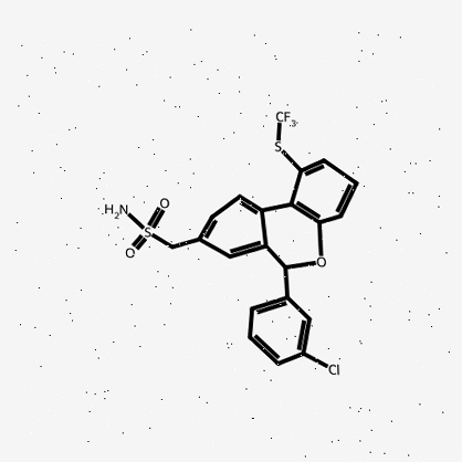 NS(=O)(=O)Cc1ccc2c(c1)C(c1cccc(Cl)c1)Oc1cccc(SC(F)(F)F)c1-2